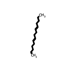 C=CCCCC=CCCC=CCCCC